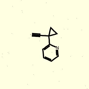 [C]#CC1(c2ccccn2)CC1